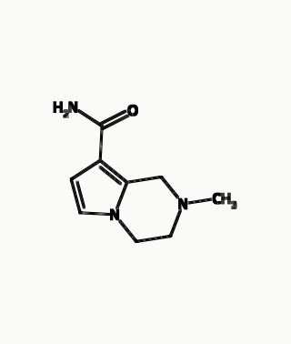 CN1CCn2ccc(C(N)=O)c2C1